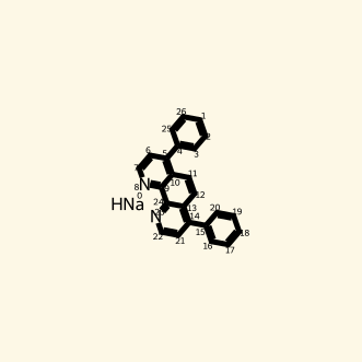 [NaH].c1ccc(-c2ccnc3c2ccc2c(-c4ccccc4)ccnc23)cc1